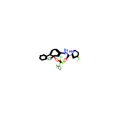 Cl.O=C(NC1=CC=C(c2ccccc2)C(Cl)(OC(F)(F)F)C1)[C@H]1C[C@H](F)CCN1